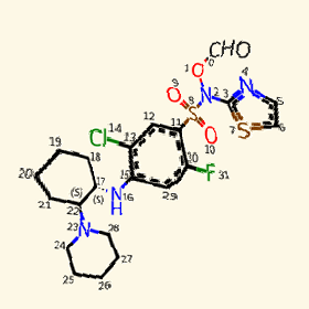 O=CON(c1nccs1)S(=O)(=O)c1cc(Cl)c(N[C@H]2CCCC[C@@H]2N2CCCCC2)cc1F